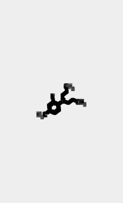 CCCN(CCC)c1ccc(C)cc1F